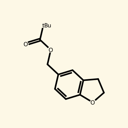 CC(C)(C)C(=O)OCc1ccc2c(c1)CCO2